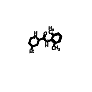 CCC1CCNC(C(=O)Nc2c(C)cccc2C)C1